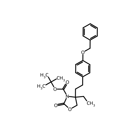 CCC1(CCc2ccc(OCc3ccccc3)cc2)COC(=O)N1C(=O)OC(C)(C)C